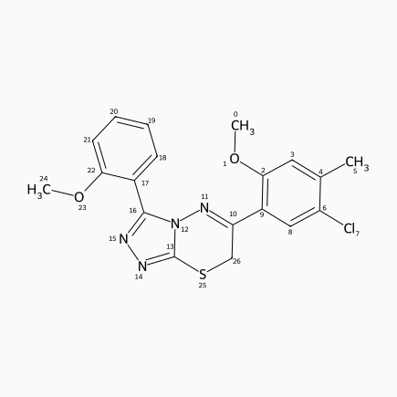 COc1cc(C)c(Cl)cc1C1=Nn2c(nnc2-c2ccccc2OC)SC1